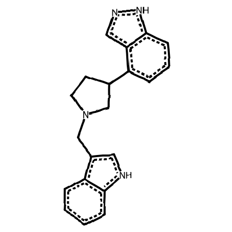 c1ccc2c(CN3CCC(c4cccc5[nH]ncc45)C3)c[nH]c2c1